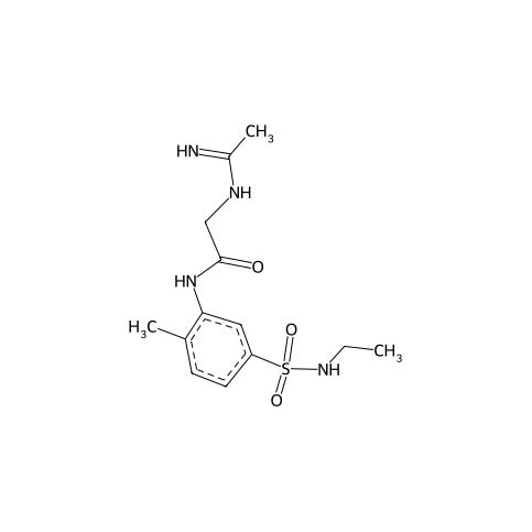 CCNS(=O)(=O)c1ccc(C)c(NC(=O)CNC(C)=N)c1